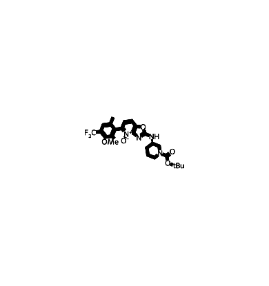 COc1cc(C(F)(F)F)cc(C)c1-c1ccc2oc(N[C@@H]3CCCN(C(=O)OC(C)(C)C)C3)nc2[n+]1[O-]